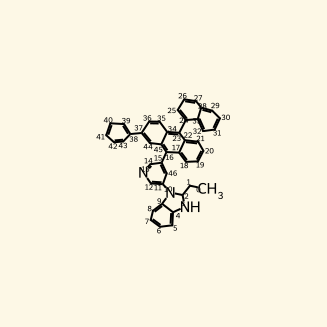 CCC1Nc2ccccc2N1c1cncc(-c2c3ccccc3c(-c3cccc4ccccc34)c3ccc(-c4ccccc4)cc23)c1